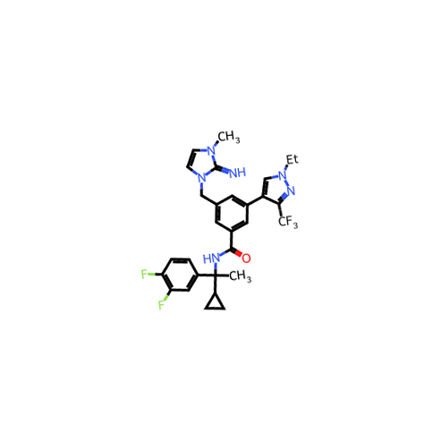 CCn1cc(-c2cc(Cn3ccn(C)c3=N)cc(C(=O)NC(C)(c3ccc(F)c(F)c3)C3CC3)c2)c(C(F)(F)F)n1